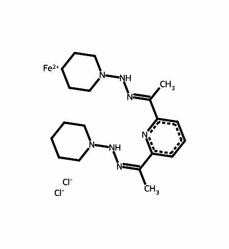 CC(=NNN1CCCCC1)c1cccc(C(C)=NNN2CCCCC2)n1.[Cl-].[Cl-].[Fe+2]